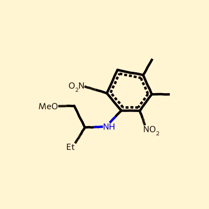 CCC(COC)Nc1c([N+](=O)[O-])cc(C)c(C)c1[N+](=O)[O-]